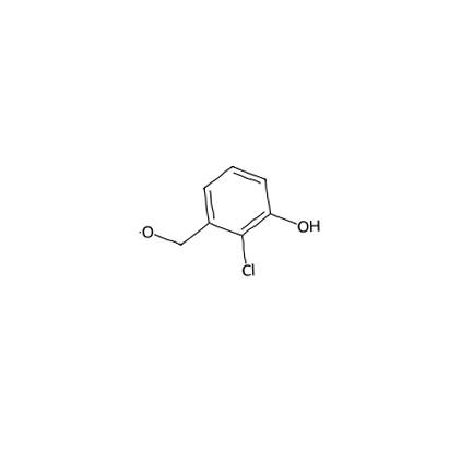 [O]Cc1cccc(O)c1Cl